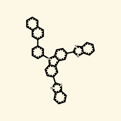 c1cc(-c2ccc3ccccc3c2)cc(-n2c3ccc(-c4nc5ccccc5s4)cc3c3cc(-c4nc5ccccc5s4)ccc32)c1